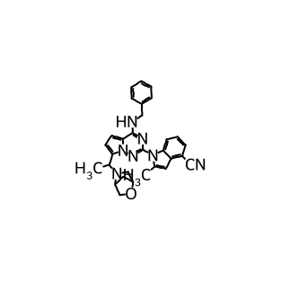 Cc1cc2c(C#N)cccc2n1-c1nc(NCc2ccccc2)c2ccc(C(C)N3CC4CC3CO4)n2n1